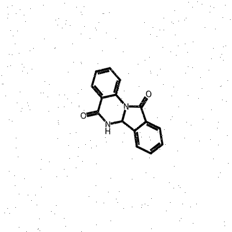 O=C1NC2c3ccccc3C(=O)N2c2ccccc21